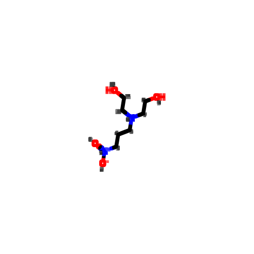 O=[N+]([O-])CCCN(CCO)CCO